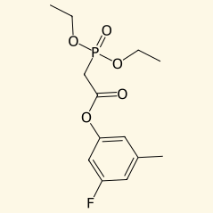 CCOP(=O)(CC(=O)Oc1cc(C)cc(F)c1)OCC